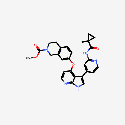 CC(C)(C)OC(=O)N1CCc2ccc(Oc3ccnc4[nH]cc(-c5ccnc(NC(=O)C6(C)CC6)c5)c34)cc2C1